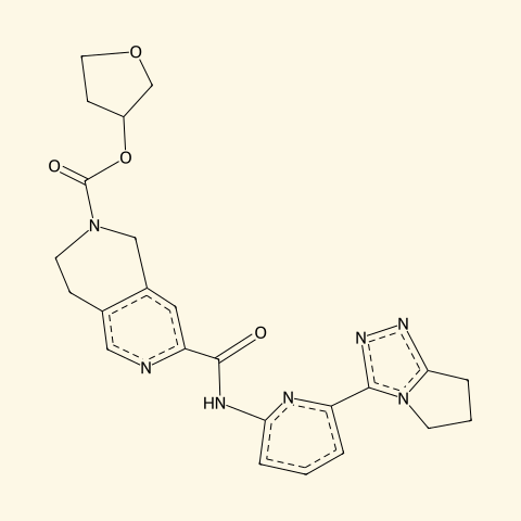 O=C(Nc1cccc(-c2nnc3n2CCC3)n1)c1cc2c(cn1)CCN(C(=O)OC1CCOC1)C2